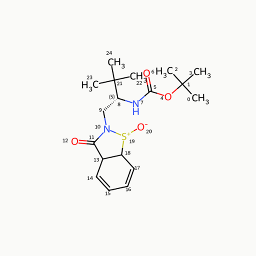 CC(C)(C)OC(=O)N[C@H](CN1C(=O)C2C=CC=CC2[S+]1[O-])C(C)(C)C